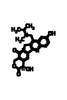 CC(C)N(C)Cc1c2c(nc3ccc(O)cc13)-c1cc3c(c(=O)n1C2)COC(=O)[C@H]3O